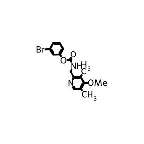 COc1c(C)cnc(CNC(=O)Oc2cccc(Br)c2)c1C